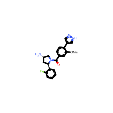 COc1cc(C(=O)N2C[C@@H](N)C[C@@H]2c2ccccc2F)ccc1-c1cn[nH]c1